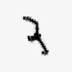 CCCCCCCC/C=C\CCCCCCCCP(=O)(C(=O)CCCCCCCCCCCCCCC)C(O)C[N+](C)(C)C